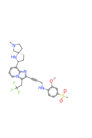 COc1cc(S(C)(=O)=O)ccc1NCC#Cc1nc2c(C3CC[C@]4(CCN(C)C4)N3)cccn2c1CC(F)(F)F